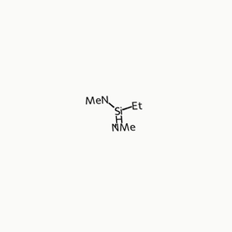 CC[SiH](NC)NC